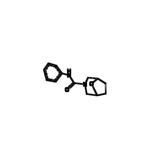 O=C(Nc1ccccc1)N1CC2CCC(C1)O2